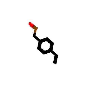 C=Cc1ccc(C[S+]=O)cc1